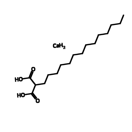 CCCCCCCCCCCCCCC(C(=O)O)C(=O)O.[CaH2]